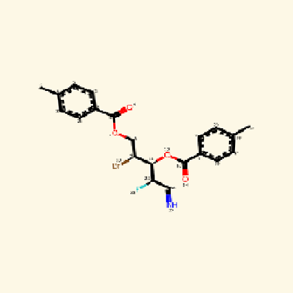 Cc1ccc(C(=O)OC[C@H](Br)[C@@H](OC(=O)c2ccc(C)cc2)[C@H](F)C=N)cc1